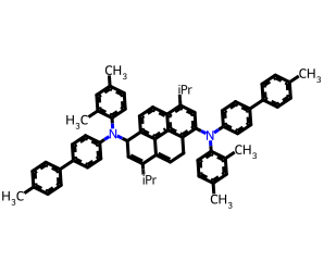 Cc1ccc(-c2ccc(N(c3ccc(C)cc3C)c3cc(C(C)C)c4ccc5c6c4c3CC=C6C(C(C)C)=CC5N(c3ccc(-c4ccc(C)cc4)cc3)c3ccc(C)cc3C)cc2)cc1